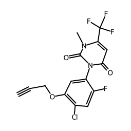 C#CCOc1cc(-n2c(=O)cc(C(F)(F)F)n(C)c2=O)c(F)cc1Cl